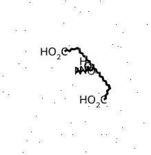 CN(C)CNCC(=O)OC(CCCCCCCC/C=C\CCCCC(=O)O)CCCCCCCC/C=C\CCCCC(=O)O